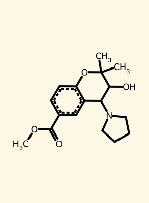 COC(=O)c1ccc2c(c1)C(N1CCCC1)C(O)C(C)(C)O2